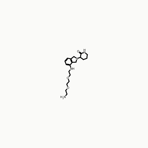 NCCOCCOCCNc1cccc2c1CN(C1CCCNC1=O)C2